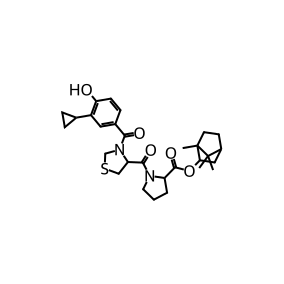 CC1(C)C2CCC1(C)C(OC(=O)C1CCCN1C(=O)C1CSCN1C(=O)c1ccc(O)c(C3CC3)c1)C2